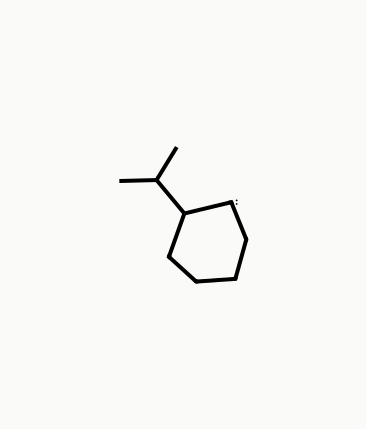 CC(C)C1[C]CCCC1